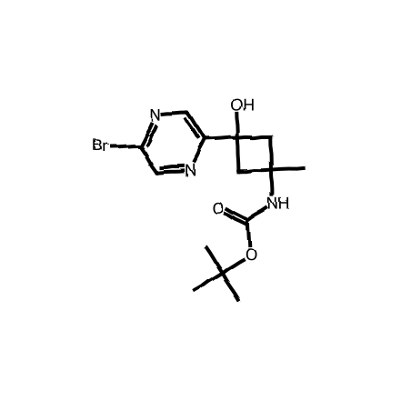 CC1(NC(=O)OC(C)(C)C)CC(O)(c2cnc(Br)cn2)C1